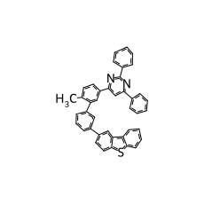 Cc1ccc(-c2cc(-c3ccccc3)nc(-c3ccccc3)n2)cc1-c1cccc(-c2ccc3sc4ccccc4c3c2)c1